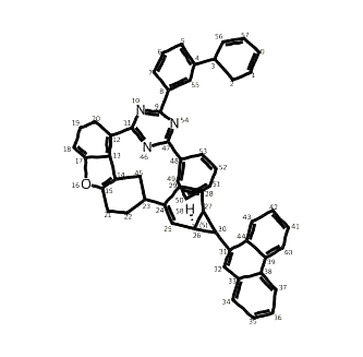 C1=CCC(c2cccc(-c3nc(C4=c5c6c(oc5=CCC4)CCC(C4=C[C@H]5C(C=C4)C5c4cc5ccccc5c5ccccc45)C6)nc(-c4ccccc4)n3)c2)C=C1